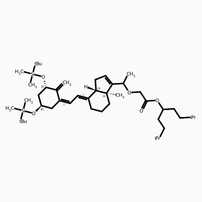 C=C1/C(=C\C=C2/CCC[C@]3(C)C(C(C)OCC(=O)OC(CCC(C)C)CCC(C)C)=CC[C@@H]23)C[C@@H](O[Si](C)(C)C(C)(C)C)C[C@@H]1O[Si](C)(C)C(C)(C)C